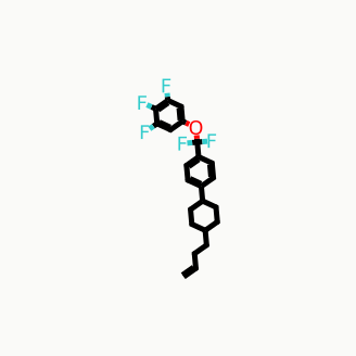 C=CCCC1CCC(c2ccc(C(F)(F)Oc3cc(F)c(F)c(F)c3)cc2)CC1